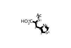 CC(=O)SC(Cc1cscn1)C(=O)O